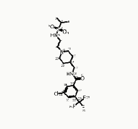 CC(C)S(=O)(=O)NCCN1CCC(CNC(=O)c2cc(Cl)cc(C(F)(F)F)c2)CC1